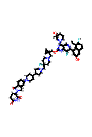 CCc1c(F)ccc2cc(O)cc(-c3ncc4c(N5CCC[C@@](C)(O)C5)nc(OCC5(CN6CCC(F)(CN7CCC(C8CCN(c9ccc%10c(c9)CN(C9CCC(=O)NC9=O)C%10=O)CC8)CC7)CC6)CC5)nc4c3F)c12